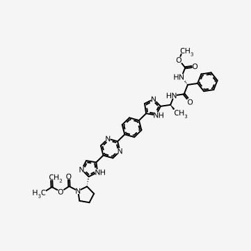 C=C(C)OC(=O)N1CCC[C@H]1c1ncc(-c2cnc(-c3ccc(-c4cnc([C@H](C)NC(=O)[C@H](NC(=O)OC)c5ccccc5)[nH]4)cc3)nc2)[nH]1